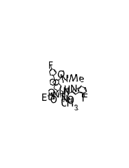 CCS(=O)(=O)Nc1cc2oc(-c3ccc(F)cc3)c(C(=O)NC)c2cc1-c1cn(C)c(=O)c(-c2cc3c(F)cccc3[nH]2)n1